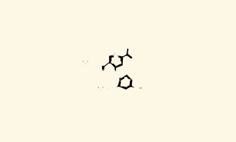 C=C(C)c1cc(Oc2ccc(OC(F)(F)F)cc2OC)c(C(=O)OC)cn1